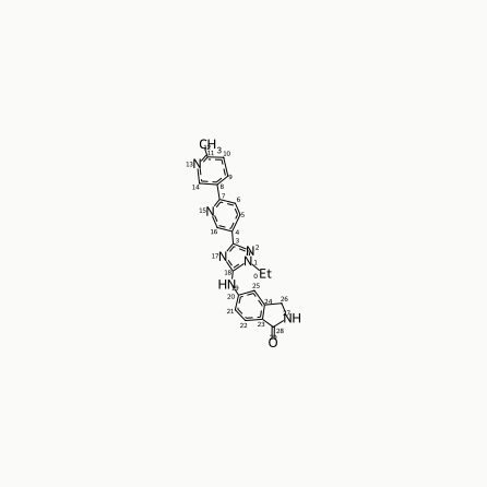 CCn1nc(-c2ccc(-c3ccc(C)nc3)nc2)nc1Nc1ccc2c(c1)CNC2=O